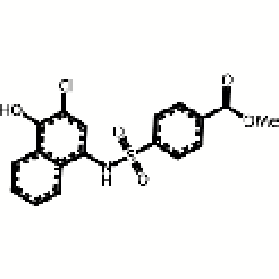 COC(=O)c1ccc(S(=O)(=O)Nc2cc(Cl)c(O)c3ccccc23)cc1